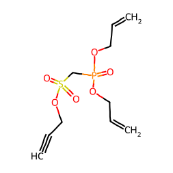 C#CCOS(=O)(=O)CP(=O)(OCC=C)OCC=C